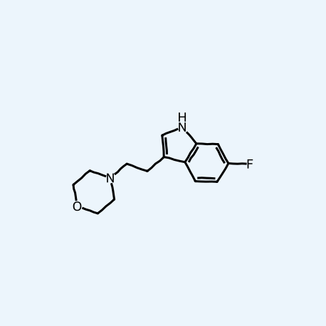 Fc1ccc2c(CCN3CCOCC3)c[nH]c2c1